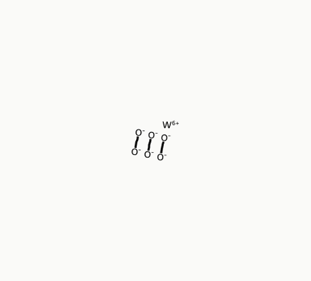 [O-][O-].[O-][O-].[O-][O-].[W+6]